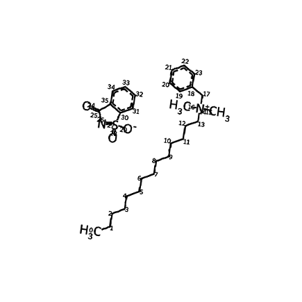 CCCCCCCCCCCCCC[N+](C)(C)Cc1ccccc1.O=C1N=S(=O)([O-])c2ccccc21